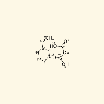 C=Cc1ccccn1.O=S(O)OS(=O)O